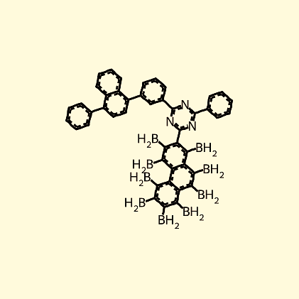 Bc1c(B)c(B)c2c(c1B)c(B)c(B)c1c(B)c(-c3nc(-c4ccccc4)nc(-c4cccc(-c5ccc(-c6ccccc6)c6ccccc56)c4)n3)c(B)c(B)c12